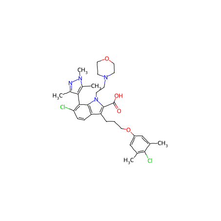 Cc1cc(OCCCc2c(C(=O)O)n(CCN3CCOCC3)c3c(-c4c(C)nn(C)c4C)c(Cl)ccc23)cc(C)c1Cl